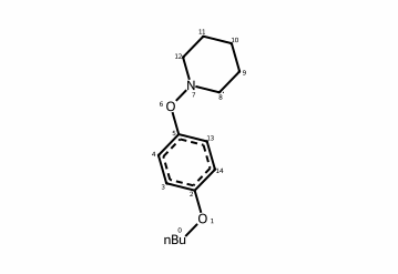 CCCCOc1ccc(ON2[CH]CCCC2)cc1